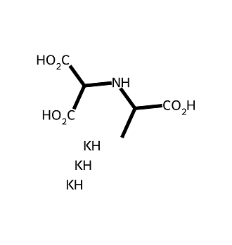 CC(NC(C(=O)O)C(=O)O)C(=O)O.[KH].[KH].[KH]